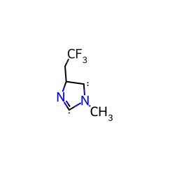 CN1[C]C(CC(F)(F)F)N=[C]1